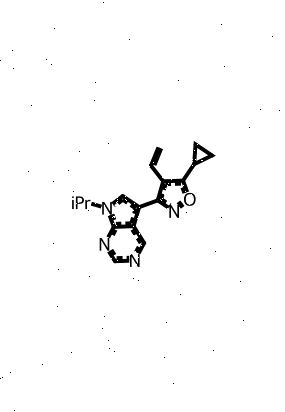 C=Cc1c(-c2cn(C(C)C)c3ncncc23)noc1C1CC1